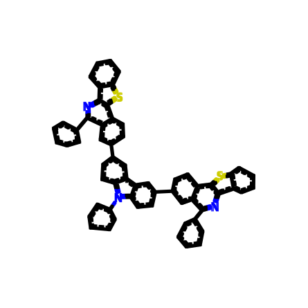 c1ccc(-c2nc3c4ccccc4sc3c3ccc(-c4ccc5c(c4)c4cc(-c6ccc7c(c6)c(-c6ccccc6)nc6c8ccccc8sc76)ccc4n5-c4ccccc4)cc23)cc1